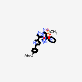 COc1ccc(-c2ccc(-c3cnn4c(N)c(S(C)(=O)=O)c(C5CC6CCC(C5)N6C(=O)c5nnc[nH]5)nc34)cn2)cc1